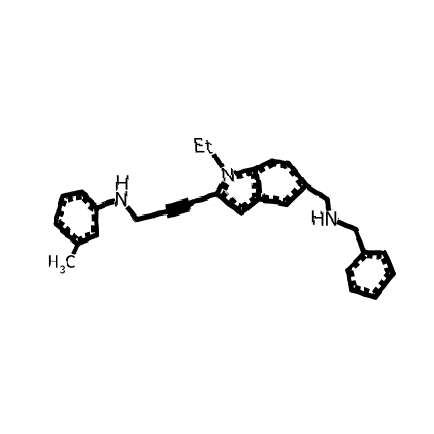 CCn1c(C#CCNc2cccc(C)c2)cc2cc(CNCc3ccccc3)ccc21